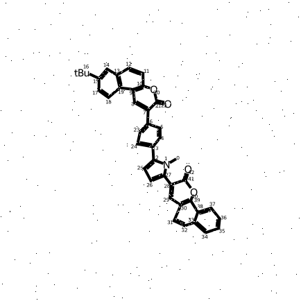 Cn1c(-c2ccc(-c3cc4c(ccc5cc(C(C)(C)C)ccc54)oc3=O)cc2)ccc1-c1cc2ccc3ccccc3c2oc1=O